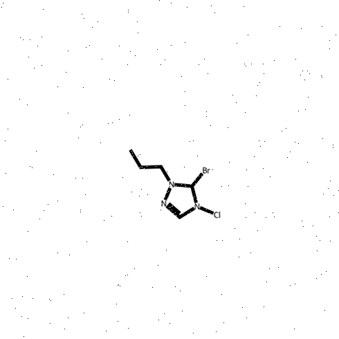 CCCN1N=CN(Cl)C1Br